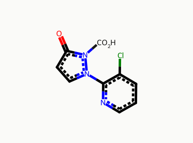 O=C(O)n1c(=O)ccn1-c1ncccc1Cl